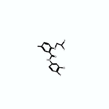 Cc1ccc(OCC(F)F)c(C(=O)Nc2ccc(F)c(Cl)c2)c1